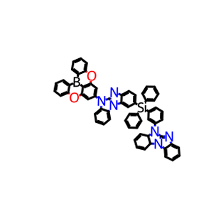 C1=CC2C(C=C1)n1c(nc3ccccc31)N2c1cccc([Si](c2ccccc2)(c2ccccc2)c2ccc3nc4n(-c5cc6c7c(c5)Oc5ccccc5B7c5ccccc5O6)c5ccccc5n4c3c2)c1